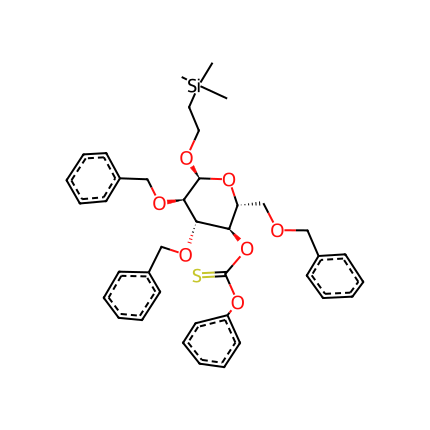 C[Si](C)(C)CCO[C@H]1O[C@H](COCc2ccccc2)[C@@H](OC(=S)Oc2ccccc2)[C@H](OCc2ccccc2)[C@H]1OCc1ccccc1